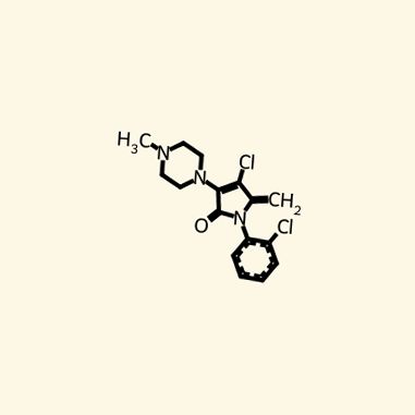 C=C1C(Cl)=C(N2CCN(C)CC2)C(=O)N1c1ccccc1Cl